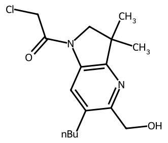 CCCCc1cc2c(nc1CO)C(C)(C)CN2C(=O)CCl